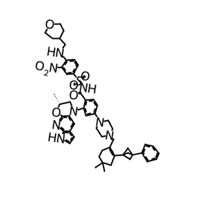 C[C@@H]1CN(c2cc(N3CCN(CC4=C(C56CC(c7ccccc7)(C5)C6)CC(C)(C)CC4)CC3)ccc2C(=O)NS(=O)(=O)c2ccc(NCC3CCOCC3)c([N+](=O)[O-])c2)c2cc3cc[nH]c3nc2O1